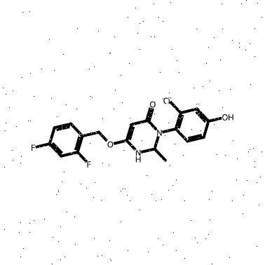 CC1NC(OCc2ccc(F)cc2F)=CC(=O)N1c1ccc(O)cc1Cl